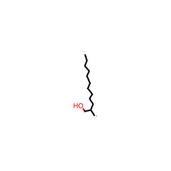 [CH2]C(CO)CCCCCCCCCC